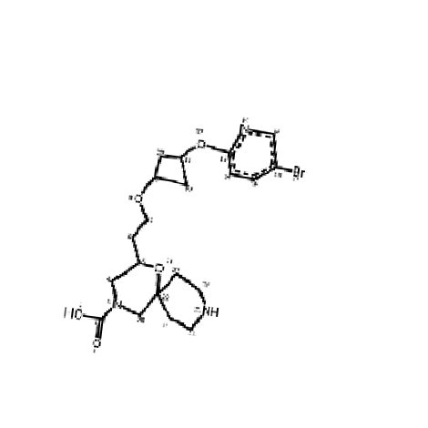 O=C(O)N1CC(CCOC2CC(Oc3ccc(Br)cn3)C2)OC2(CCNCC2)C1